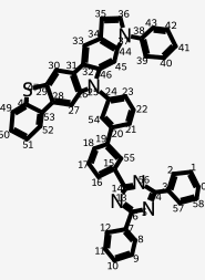 c1ccc(-c2nc(-c3ccccc3)nc(-c3cccc(-c4cccc(-n5c6cc7c(cc6c6cc8ccn(-c9ccccc9)c8cc65)sc5ccccc57)c4)c3)n2)cc1